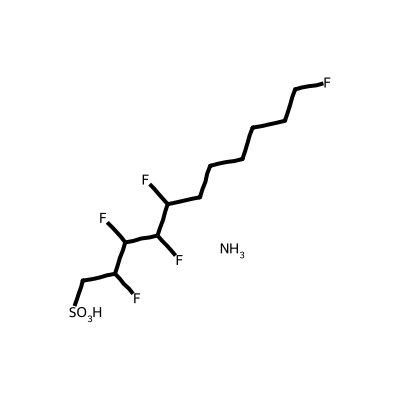 N.O=S(=O)(O)CC(F)C(F)C(F)C(F)CCCCCCF